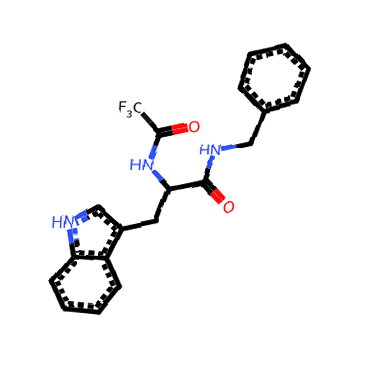 O=C(NCc1ccccc1)C(Cc1c[nH]c2ccccc12)NC(=O)C(F)(F)F